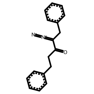 [N-]=[N+]=C(Cc1ccccc1)C(=O)CCc1ccccc1